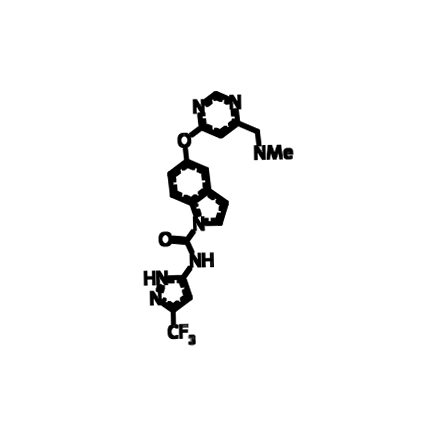 CNCc1cc(Oc2ccc3c(ccn3C(=O)Nc3cc(C(F)(F)F)n[nH]3)c2)ncn1